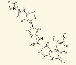 O=C(Nc1cnn([C@@H]2CCc3nc(N4CCC4)ccc32)c1)c1cncc(-c2c(C(F)F)ccc(Cl)c2F)n1